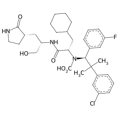 CC(C)(c1cccc(Cl)c1)[C@H](c1cccc(F)c1)N(C(=O)O)[C@@H](CC1CCCCC1)C(=O)N[C@H](CO)C[C@@H]1CCNC1=O